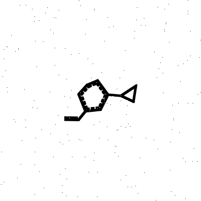 C=Cc1cccc(C2CC2)c1